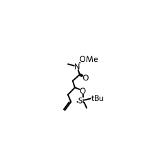 C=CCC(CC(=O)N(C)OC)O[Si](C)(C)C(C)(C)C